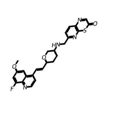 COc1cc(F)c2nccc(C=CC3CCC(NCc4ccc5ncc(=O)sc5n4)CO3)c2c1